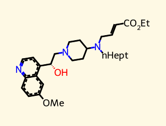 CCCCCCCN(CC=CC(=O)OCC)C1CCN(C[C@H](O)c2ccnc3ccc(OC)cc23)CC1